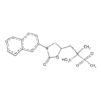 CC(CC1CN(c2ccc3ccccc3c2)C(=O)O1)(C(=O)O)S(C)(=O)=O